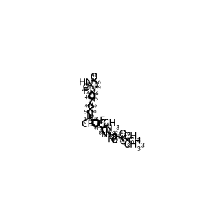 CCC(c1ccc(-c2cnc(-c3cc(C(=O)OC(C)(C)C)on3)nc2C)c(F)c1)N1CC2(CC(c3ccc(N4CCC(=O)NC4=O)c(F)c3)C2)C1